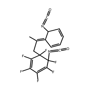 CC(CC1(F)C(F)=C(F)C(F)=C(F)C1(F)N=C=O)=C1C=CC=CC1N=C=O